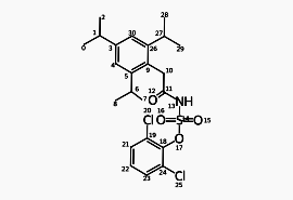 CC(C)c1cc(C(C)C)c(CC(=O)NS(=O)(=O)Oc2c(Cl)cccc2Cl)c(C(C)C)c1